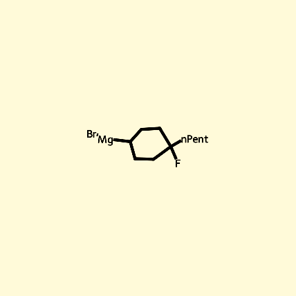 CCCCCC1(F)CC[CH]([Mg][Br])CC1